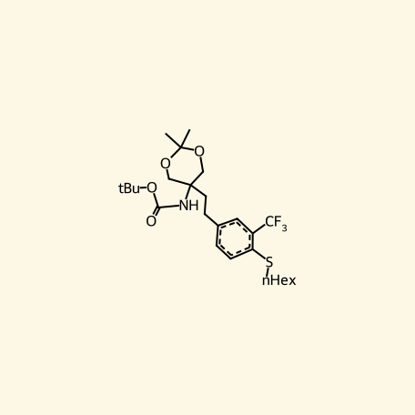 CCCCCCSc1ccc(CCC2(NC(=O)OC(C)(C)C)COC(C)(C)OC2)cc1C(F)(F)F